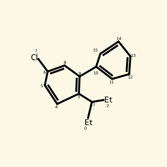 CCC(CC)c1ccc(Cl)cc1-c1ccccc1